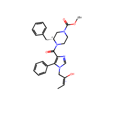 C/C=C(/O)Cn1cnc(C(=O)N2CCN(C(=O)OC(C)(C)C)C[C@H]2Cc2ccccc2)c1-c1ccccc1